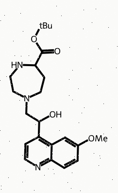 COc1ccc2nccc(C(O)CN3CCNC(C(=O)OC(C)(C)C)CC3)c2c1